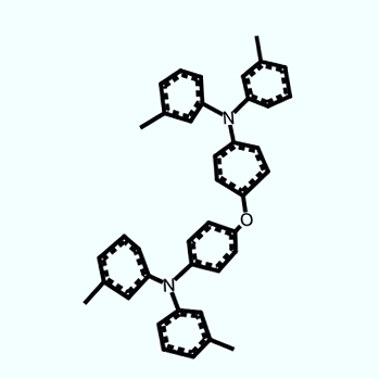 Cc1cccc(N(c2ccc(Oc3ccc(N(c4cccc(C)c4)c4cccc(C)c4)cc3)cc2)c2cccc(C)c2)c1